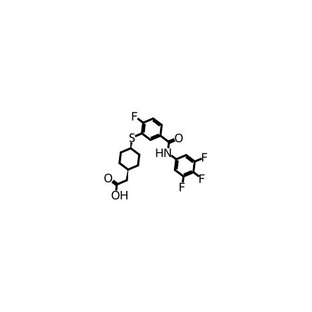 O=C(O)C[C@H]1CC[C@@H](Sc2cc(C(=O)Nc3cc(F)c(F)c(F)c3)ccc2F)CC1